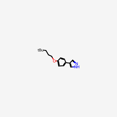 CC(C)(C)CCCOc1ccc(-c2cn[nH]c2)cc1